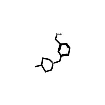 CNCc1cccc(CN2CCC(C)CC2)c1